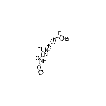 O=C(NCCOc1ccccc1)c1cnc(N2CCN(C3CCN(Cc4ccc(Br)cc4F)CC3)CC2)c(Cl)c1